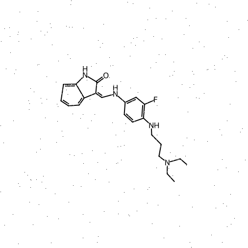 CCN(CC)CCCNc1ccc(NC=C2C(=O)Nc3ccccc32)cc1F